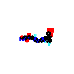 Cc1cc([C@@H]2COc3cc(O)ccc3[C@@H]2c2ccc(N3CCC(CN4CCN(c5cc6c(cc5F)C(=O)N([C@H]5CCC(=O)NC5=O)C6)CC4)CC3)c(F)c2)ccc1F